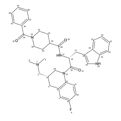 CN(C)C[C@H]1Cc2cc(F)ccc2N(C(=O)[C@@H](Cc2c[nH]c3ccccc23)NC(=O)C2CCN(C(=O)c3ccccc3)CC2)C1